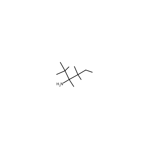 CCC(C)(C)C(C)(N)C(C)(C)C